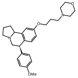 COc1ccc([C@H]2CN3CCCC3c3cc(OCCCN4CCOCC4)ccc32)cc1